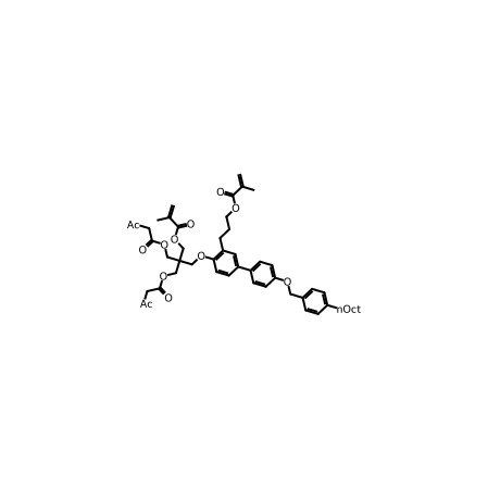 C=C(C)C(=O)OCCCc1cc(-c2ccc(OCc3ccc(CCCCCCCC)cc3)cc2)ccc1OCC(COC(=O)CC(C)=O)(COC(=O)CC(C)=O)COC(=O)C(=C)C